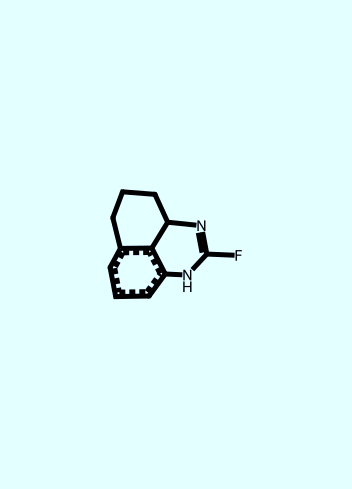 FC1=NC2CCCc3cccc(c32)N1